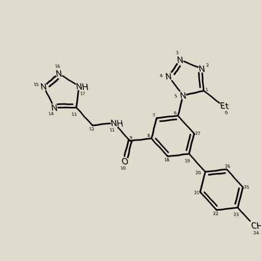 CCc1nnnn1-c1cc(C(=O)NCc2nnn[nH]2)cc(-c2ccc(C)cc2)c1